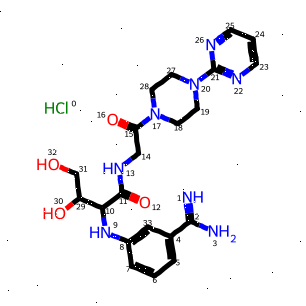 Cl.N=C(N)c1cccc(NC(C(=O)NCC(=O)N2CCN(c3ncccn3)CC2)C(O)CO)c1